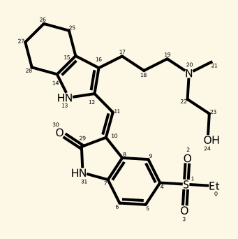 CCS(=O)(=O)c1ccc2c(c1)/C(=C/c1[nH]c3c(c1CCCN(C)CCO)CCCC3)C(=O)N2